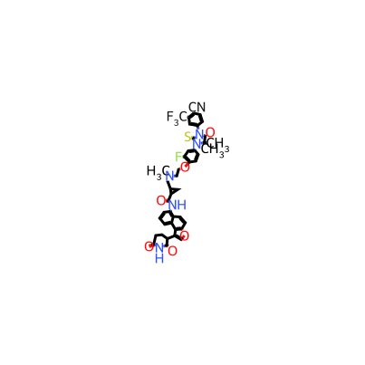 CN(CCOc1ccc(N2C(=S)N(c3ccc(C#N)c(C(F)(F)F)c3)C(=O)C2(C)C)cc1F)CC1CC1C(=O)Nc1cccc2c1ccc1occ(C3CCC(=O)NC3=O)c12